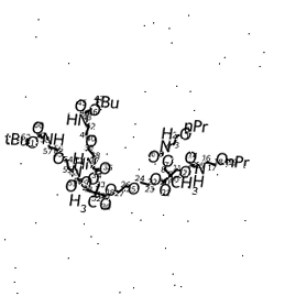 CCCOCCNC(=O)OCC(C)(COC(=O)NCCOCCC)C(=O)OCCOCCOC(=O)C(C)(COC(=O)NCCOCCNC(=O)OC(C)(C)C)COC(=O)NCCOCCNC(=O)OC(C)(C)C